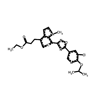 CCOC(=O)CCc1ccc(-c2noc(-c3cnc(OC(C)C)c(Cl)c3)n2)c2c1ccn2C